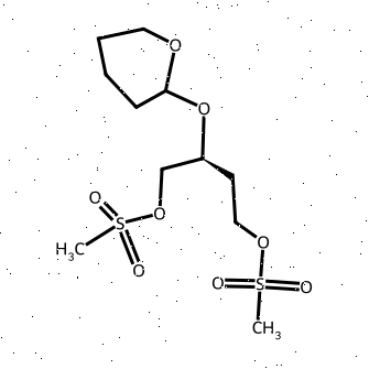 CS(=O)(=O)OCC[C@@H](COS(C)(=O)=O)OC1CCCCO1